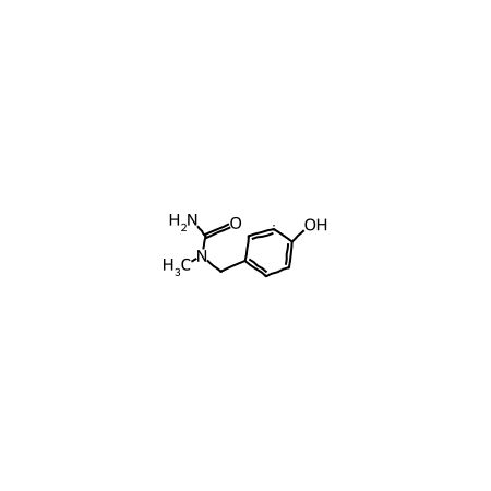 CN(Cc1c[c]c(O)cc1)C(N)=O